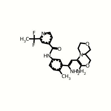 Cc1ccc(NC(=O)c2ccnc(C(C)(F)F)c2)cc1/C(N)=C/C1=C(N)OCC2COCCN12